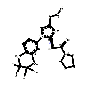 CCOCc1cn(-c2ccc3c(c2)OC(F)(F)C(F)(F)O3)/c(=N/C(=O)N2CCCC2)s1